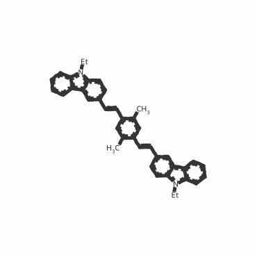 CCn1c2ccccc2c2cc(/C=C/c3cc(C)c(/C=C/c4ccc5c(c4)c4ccccc4n5CC)cc3C)ccc21